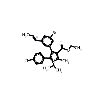 C/C=C/c1cc(Br)cc(-c2c(C(=O)OCC)c(C)n(C(C)C)c2-c2ccc(Cl)cc2)c1